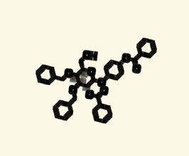 O=C(Oc1ccc(OC2O[C@H](CO)[C@H](OCc3ccccc3)[C@H](OCc3ccccc3)[C@H]2OC(=O)c2ccccc2)cc1)c1ccccc1